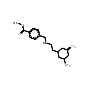 C=C1CC(C)CC(CCNCc2ccc(C(=O)OC)cc2)C1